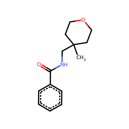 CC1(CNC(=O)c2ccccc2)CCOCC1